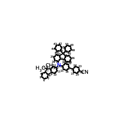 CC1(C)c2ccccc2-c2ccc(N(c3ccc(-c4ccc(C#N)cc4)cc3)c3cccc4c3-c3ccccc3C4(c3ccccc3)c3ccccc3)cc21